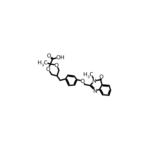 Cn1c(COc2ccc(CC3COC(C)(C(=O)O)OC3)cc2)nc2ccccc2c1=O